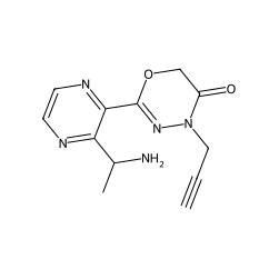 C#CCN1N=C(c2nccnc2C(C)N)OCC1=O